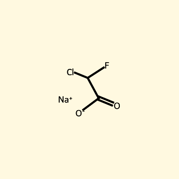 O=C([O-])C(F)Cl.[Na+]